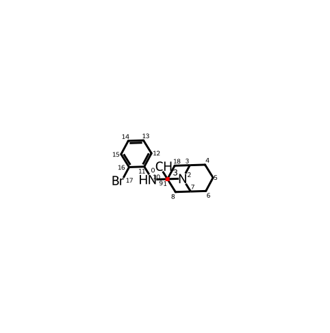 CCN1C2CCCC1CC(Nc1ccccc1Br)C2